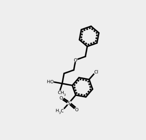 CC(O)(CCOCc1ccccc1)c1cc(Cl)ccc1S(C)(=O)=O